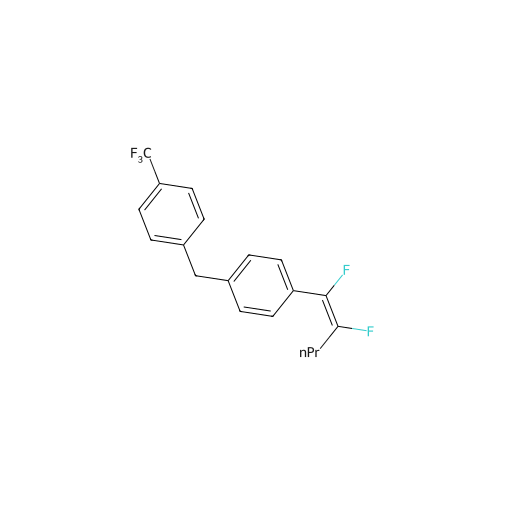 CCC/C(F)=C(/F)c1ccc(Cc2ccc(C(F)(F)F)cc2)cc1